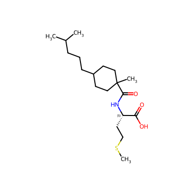 CSCC[C@H](NC(=O)C1(C)CCC(CCCC(C)C)CC1)C(=O)O